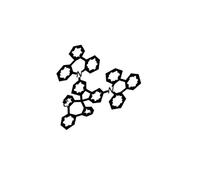 c1ccc2c(c1)-c1ccccc1N(c1ccc3c(c1)-c1cc(N4c5ccccc5-c5ccccc5-c5ccccc54)ccc1C31c3ccccc3-c3ccccc3-c3ccccc31)c1ccccc1-2